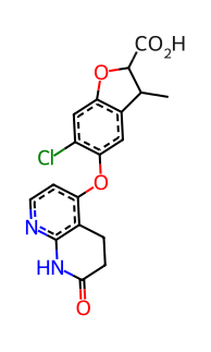 CC1c2cc(Oc3ccnc4c3CCC(=O)N4)c(Cl)cc2OC1C(=O)O